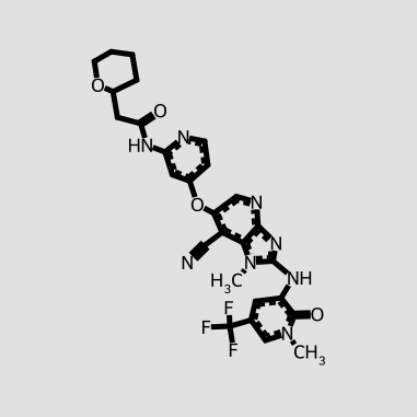 Cn1cc(C(F)(F)F)cc(Nc2nc3ncc(Oc4ccnc(NC(=O)CC5CCCCO5)c4)c(C#N)c3n2C)c1=O